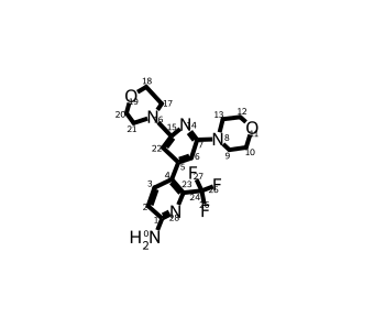 Nc1ccc(-c2cc(N3CCOCC3)nc(N3CCOCC3)c2)c(C(F)(F)F)n1